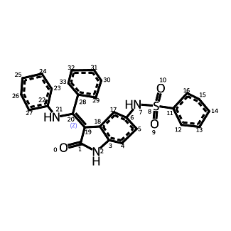 O=C1Nc2ccc(NS(=O)(=O)c3ccccc3)cc2/C1=C(/Nc1ccccc1)c1ccccc1